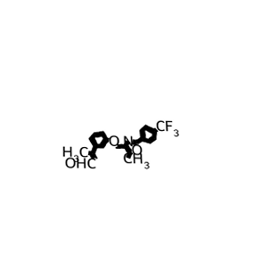 CC(=CC=O)c1cccc(OCc2nc(-c3ccc(C(F)(F)F)cc3)oc2C)c1